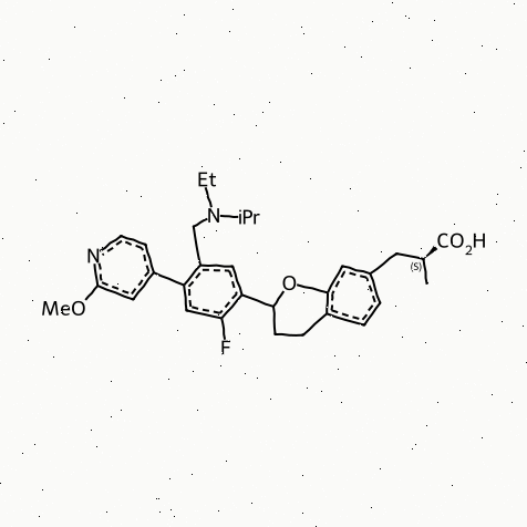 CCN(Cc1cc(C2CCc3ccc(C[C@H](C)C(=O)O)cc3O2)c(F)cc1-c1ccnc(OC)c1)C(C)C